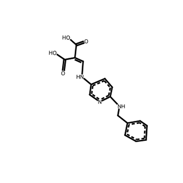 O=C(O)C(=CNc1ccc(NCc2ccccc2)nc1)C(=O)O